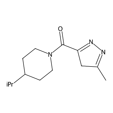 CC1=NN=C(C(=O)N2CCC(C(C)C)CC2)C1